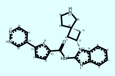 O=C(Nc1nc2ccccc2n1[C@H]1C[C@@]2(CCNC2)C1)c1ccc(-c2ccnnc2)s1